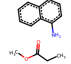 CCC(=O)OC.Nc1cccc2ccccc12